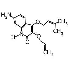 C=CCOc1c(OCC=C(C)C)c2ccc(N)cc2n(CC)c1=O